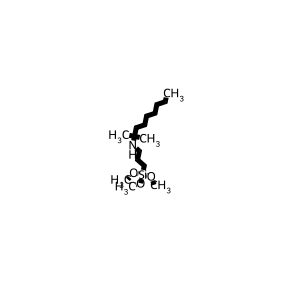 CCCCCCCC(C)(C)NCCC[Si](OC)(OC)OC